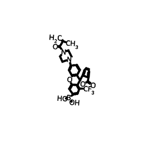 C=C(C)C(=O)N1CCN(c2ccc3c(c2)Oc2cc(B(O)O)cc(C(F)(F)F)c2C32OC(=O)c3ccccc32)CC1